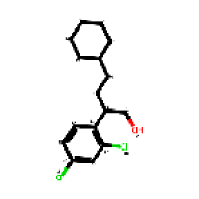 OCC(CCC1CCCCC1)c1ccc(Cl)cc1Cl